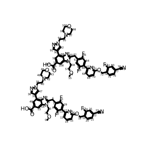 COCCn1c(Cc2cc(F)c(-c3cccc(OCc4ccc(C#N)cc4F)n3)cc2F)nc2c(-c3cnn(CCN4CCOCC4)c3)cc(C(=O)O)cc21.COCCn1c(Cc2cc(F)c(-c3cccc(OCc4ccc(C#N)cc4F)n3)cc2F)nc2c(-c3cnn(CCN4CCOCC4)c3)cc(C(=O)O)cc21